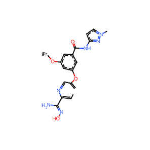 C=C(\C=N/C(=C\C)C(/N)=N/O)Oc1cc(OC(C)C)cc(C(=O)Nc2ccn(C)n2)c1